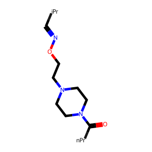 CCCC(=O)N1CCN(CCO/N=C/C(C)C)CC1